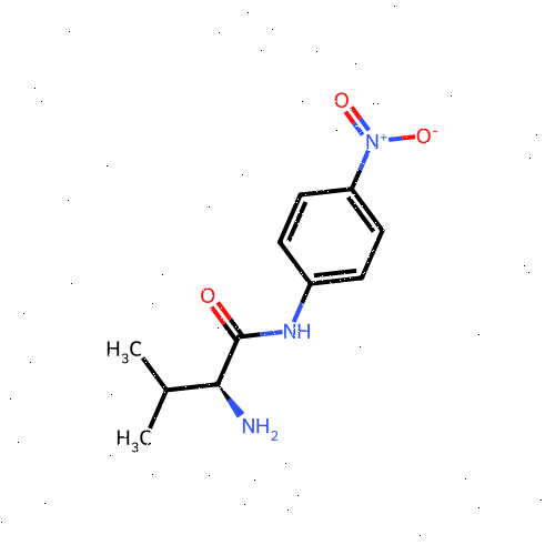 CC(C)[C@H](N)C(=O)Nc1ccc([N+](=O)[O-])cc1